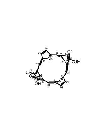 O=C(O)n1c2ccc1cc1nc(cc3c(Cl)cc(cc4nc(c2)C=C4)n3C(=O)O)C=C1